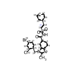 Cc1nc2ccc(C(=O)NS(=O)(=O)/C=C/c3ccccc3)cc2n1Cc1ccc(Br)cc1Cl